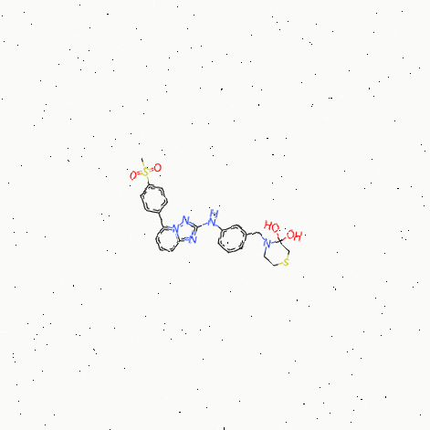 CS(=O)(=O)c1ccc(-c2cccc3nc(Nc4cccc(CN5CCSCC5(O)O)c4)nn23)cc1